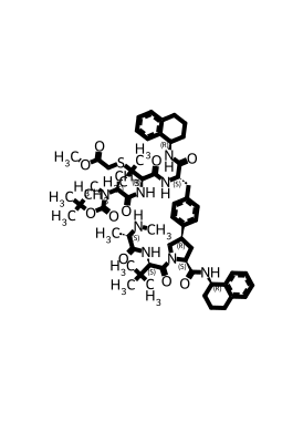 CN[C@@H](C)C(=O)N[C@H](C(=O)N1C[C@@H](c2ccc(C[C@H](NC(=O)[C@@H](NC(=O)[C@H](C)N(C)C(=O)OC(C)(C)C)C(C)(C)SCC(=O)OC)C(=O)N[C@@H]3CCCc4ccccc43)cc2)C[C@H]1C(=O)N[C@@H]1CCCc2ccccc21)C(C)(C)C